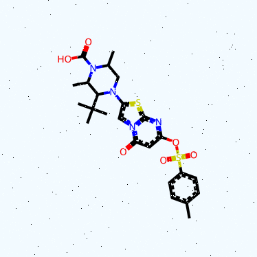 Cc1ccc(S(=O)(=O)Oc2cc(=O)n3cc(N4CC(C)N(C(=O)O)C(C)C4C(C)(C)C)sc3n2)cc1